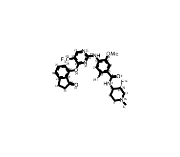 COc1cc(C(=O)NC2CCN(C)C[C@H]2F)c(F)cc1Nc1ncc(C(F)(F)F)c(Oc2cccc3c2C(=O)CC3)n1